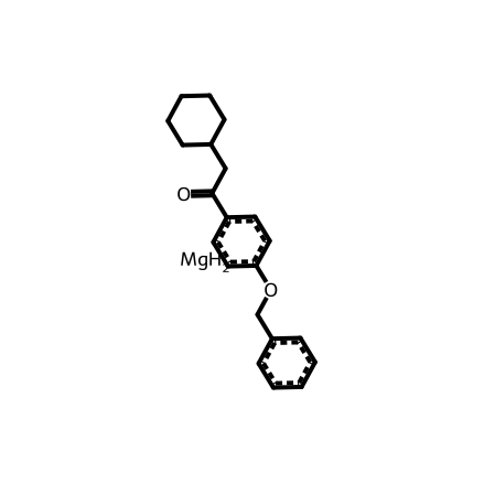 O=C(CC1CCCCC1)c1ccc(OCc2ccccc2)cc1.[MgH2]